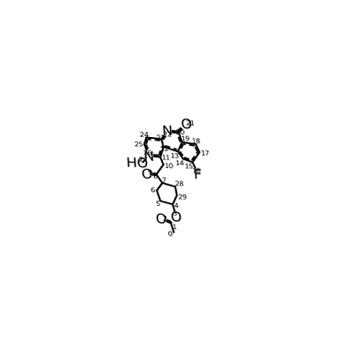 CC(=O)OC1CCC(C(=O)Cc2c3c4cc(F)ccc4c(=O)nc-3ccn2O)CC1